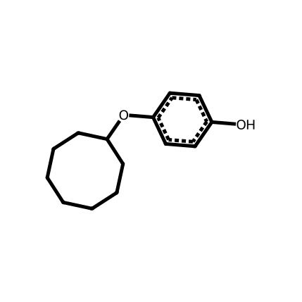 Oc1ccc(OC2CCCCCCC2)cc1